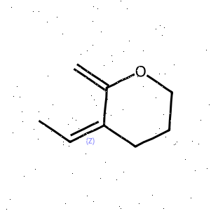 C=C1OCCC/C1=C/C